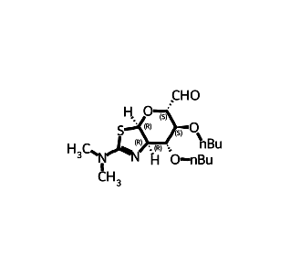 CCCCO[C@@H]1[C@H]2N=C(N(C)C)S[C@H]2O[C@H](C=O)[C@H]1OCCCC